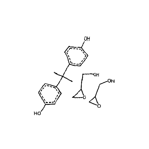 CC(C)(c1ccc(O)cc1)c1ccc(O)cc1.OCC1CO1.OCC1CO1